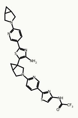 Nc1nc(-c2ccc(N3CC4CC4C3)nc2)sc1C12CC1CN(c1ccc(-c3nc(NC(=O)C(F)(F)F)cs3)cn1)C2